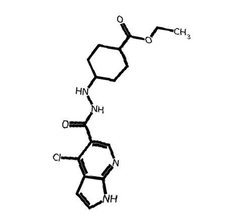 CCOC(=O)C1CCC(NNC(=O)c2cnc3[nH]ccc3c2Cl)CC1